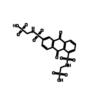 O=C1c2cc(S(=O)(=O)NCS(=O)(=O)O)ccc2C(=O)c2c1cccc2S(=O)(=O)NCS(=O)(=O)O